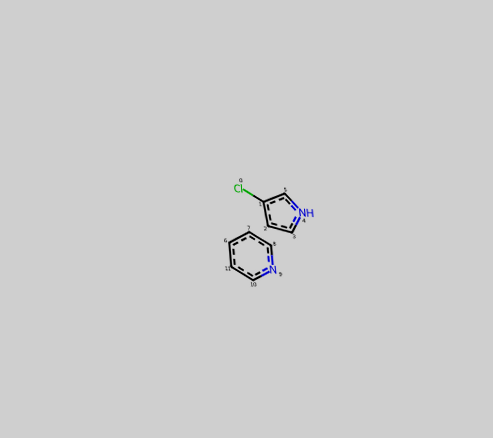 Clc1cc[nH]c1.c1ccncc1